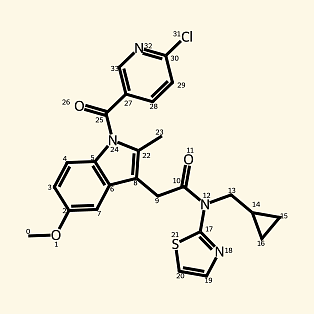 COc1ccc2c(c1)c(CC(=O)N(CC1CC1)c1nccs1)c(C)n2C(=O)c1ccc(Cl)nc1